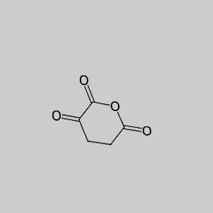 O=C1CCC(=O)C(=O)O1